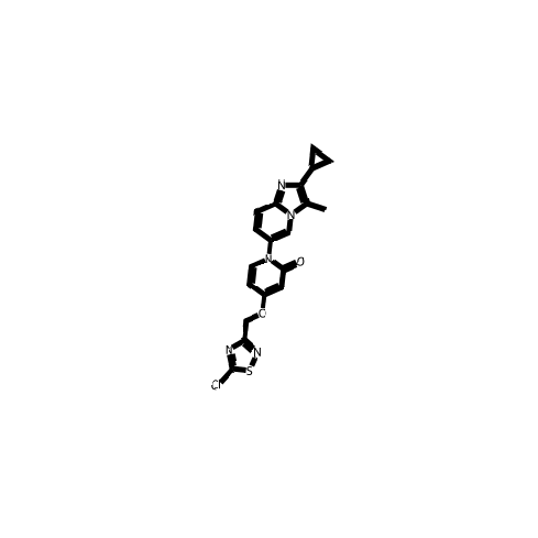 Cc1c(C2CC2)nc2ccc(-n3ccc(OCc4nsc(Cl)n4)cc3=O)cn12